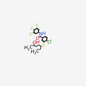 CCC(CCC(C)O)Sc1cc(C(=O)Nc2cc(F)c(F)c(F)c2)ccc1Cl